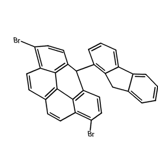 Brc1ccc2c3c1ccc1ccc4c(Br)ccc(c4c13)C2c1cccc2c1Cc1ccccc1-2